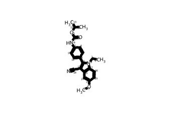 CCn1c(-c2ccc(NC(=O)OC(C)C)cc2)c(C#N)c2cc(OC)ccc21